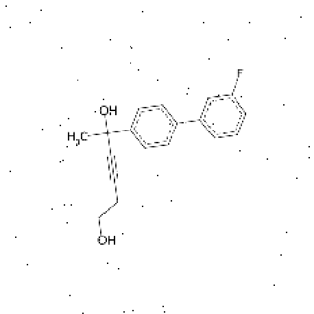 CC(O)(C#CCCO)c1ccc(-c2cccc(F)c2)cc1